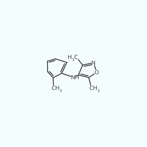 Cc1ccccc1Nc1c(C)noc1C